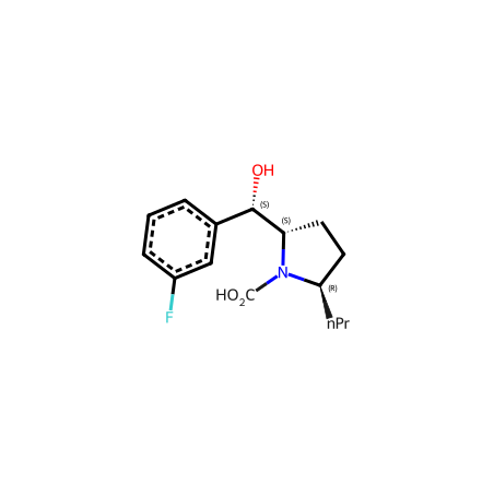 CCC[C@@H]1CC[C@@H]([C@@H](O)c2cccc(F)c2)N1C(=O)O